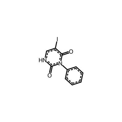 O=c1[nH]cc(I)c(=O)n1-c1ccccc1